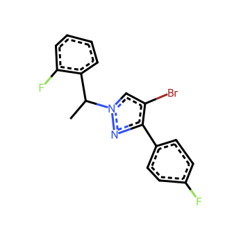 CC(c1ccccc1F)n1cc(Br)c(-c2ccc(F)cc2)n1